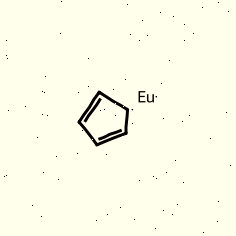 [CH]1C=CC=C1.[Eu]